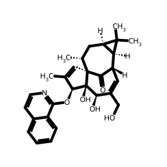 CC1=C[C@]23C(=O)[C@@H](C=C(CO)[C@@H](O)[C@]2(O)[C@H]1Oc1nccc2ccccc12)[C@H]1[C@@H](C[C@H]3C)C1(C)C